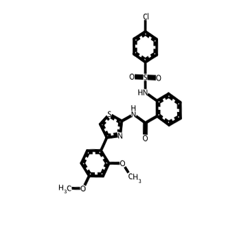 COc1ccc(-c2csc(NC(=O)c3ccccc3NS(=O)(=O)c3ccc(Cl)cc3)n2)c(OC)c1